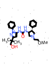 COCCN1C[C@@H](NC(=O)Nc2cc(C(C)(C)CO)nn2-c2ccccc2)[C@H](c2ccccc2)C1